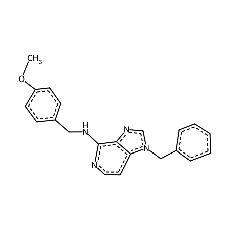 COc1ccc(CNc2nccc3c2ncn3Cc2ccccc2)cc1